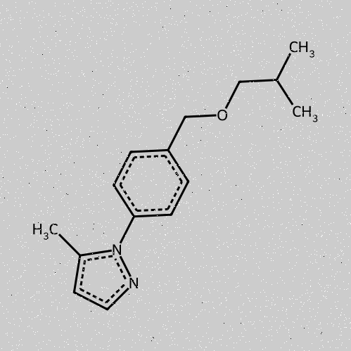 Cc1ccnn1-c1ccc(COCC(C)C)cc1